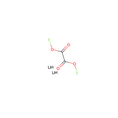 O=C(OF)C(=O)OF.[LiH].[LiH]